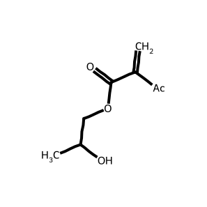 C=C(C(C)=O)C(=O)OCC(C)O